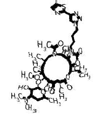 CC[C@H]1OC(=O)[C@H](C)C(=O)[C@@H](C)[C@@H](O[C@@H]2OC(C)CC(N(C)C)C2O)[C@](C)(OC)C[C@@H](C)CN(C(C)=O)[C@H](C)[C@H]2N(CCCCn3cc(-c4nccs4)nn3)C(=O)O[C@]12C